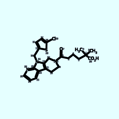 CC(C)(CCCC(=O)N1CCc2c(n(Cc3ccc(Cl)s3)c3ncccc23)C1)C(=O)O